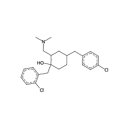 CN(C)CC1CC(Cc2ccc(Cl)cc2)CCC1(O)Cc1ccccc1Cl